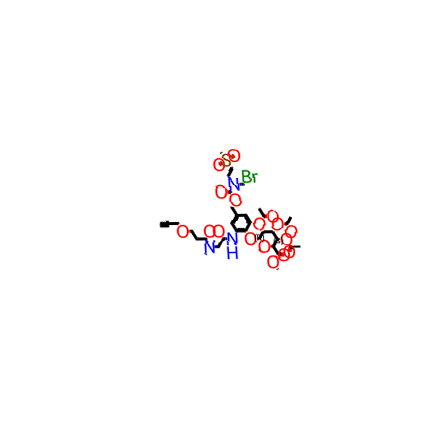 C#CCOCCC(=O)N(C)CC(=O)Nc1cc(COC(=O)N(CBr)CCS(C)(=O)=O)ccc1O[C@H]1OC(C(=O)OC)[C@@H](OC(C)=O)C(OC(C)=O)C1OC(C)=O